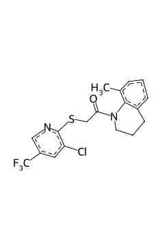 Cc1cccc2c1N(C(=O)CSc1ncc(C(F)(F)F)cc1Cl)CCC2